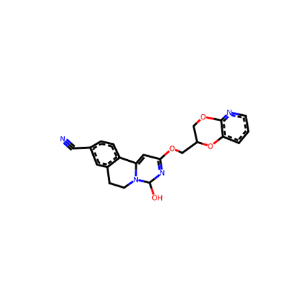 N#Cc1ccc2c(c1)CCN1C2=CC(OCC2COc3ncccc3O2)=NC1O